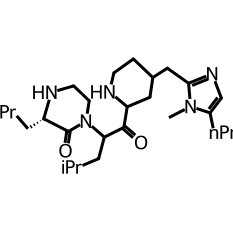 CCCc1cnc(CC2CCNC(C(=O)C(CC(C)C)N3CCN[C@@H](CC(C)C)C3=O)C2)n1C